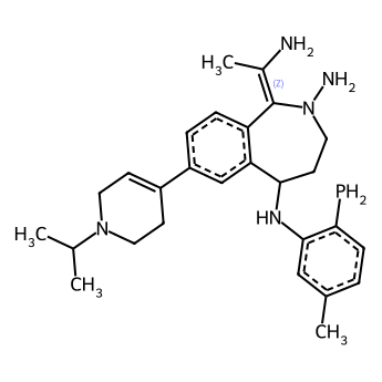 C/C(N)=C1\c2ccc(C3=CCN(C(C)C)CC3)cc2C(Nc2cc(C)ccc2P)CCN1N